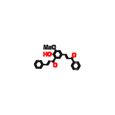 COc1cc(/C=C/C(=O)c2ccccc2)cc(C(=O)/C=C/c2ccccc2)c1O